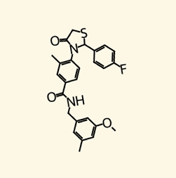 COc1cc(C)cc(CNC(=O)c2ccc(N3C(=O)CSC3c3ccc(F)cc3)c(C)c2)c1